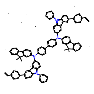 C=Cc1ccc(-c2ccc3c(c2)c2cc(N(c4ccc(-c5ccc(N(c6ccc7c(c6)C(C)(C)c6ccccc6-7)c6ccc7c(c6)c6cc(-c8ccc(C=C)cc8)ccc6n7-c6ccccc6)cc5)cc4)c4ccc5c(c4)C(C)(C)c4ccccc4-5)ccc2n3-c2ccccc2)cc1